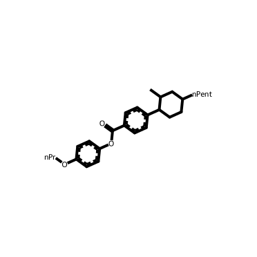 CCCCCC1CCC(c2ccc(C(=O)Oc3ccc(OCCC)cc3)cc2)C(C)C1